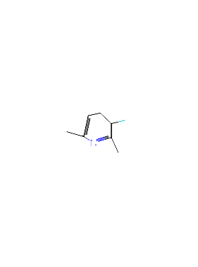 CC1=CCC(F)C(C)=N1